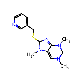 CN1C=C2C(=NC(SCc3cccnc3)N2C)N(C)C1